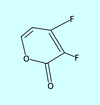 O=c1occc(F)c1F